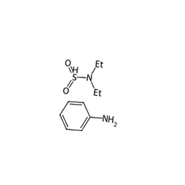 CCN(CC)[SH](=O)=O.Nc1ccccc1